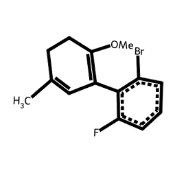 COC1=C(c2c(F)cccc2Br)C=C(C)CC1